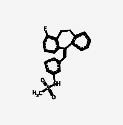 CS(=O)(=O)Nc1cccc(/C=C2/c3ccccc3CCc3c(F)cccc32)c1